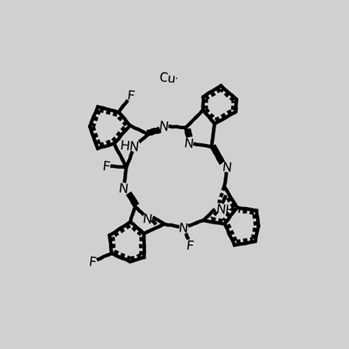 Fc1ccc2c(c1)/C1=N/C3(F)N\C(=N/C4=N\C(=N/c5[nH]c(c6ccccc56)N(F)C2=N1)c1ccccc14)c1c(F)cccc13.[Cu]